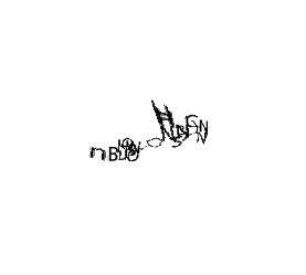 CCCCS(=O)(=O)NC[C@H]1CC[C@H](Nc2nc(-c3nccnc3C)cs2)CC1